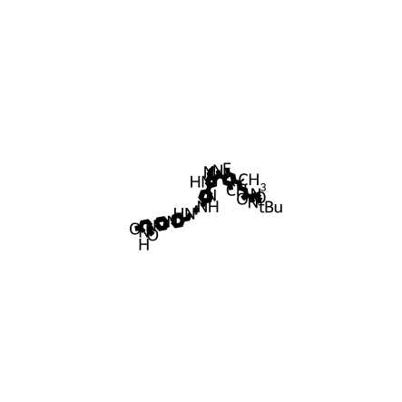 Cc1cc(-c2ncnc3[nH]c(-c4ccc(NCCNCC5CCN(c6ccc(N7CCC(=O)NC7=O)cc6)CC5)cn4)cc23)c(F)cc1[C@@H](C)CCC(=O)c1noc(C(C)(C)C)n1